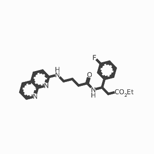 CCOC(=O)CC(NC(=O)CCCNc1ccc2cccnc2n1)c1cccc(F)c1